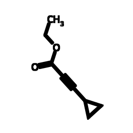 CCOC(=O)C#CC1CC1